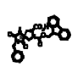 CN1C(=O)N(Cc2ccccc2)C(=O)[C@@]12C[C@@H](C(=O)O)N(C(=O)OCC1c3ccccc3-c3ccccc31)C2